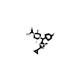 C[C@@H]1CN(C(=O)O)[C@@H](C)CN1C(c1ccc(F)cc1)c1nc(C2CC2)nn1C